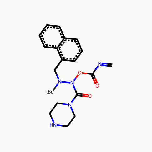 C=NC(=O)ON(C(=O)N1CCNCC1)N(Cc1cccc2ccccc12)C(C)(C)C